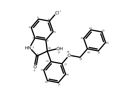 O=C1Nc2ccc(Cl)cc2C1(O)c1ccccc1OCc1ccccc1